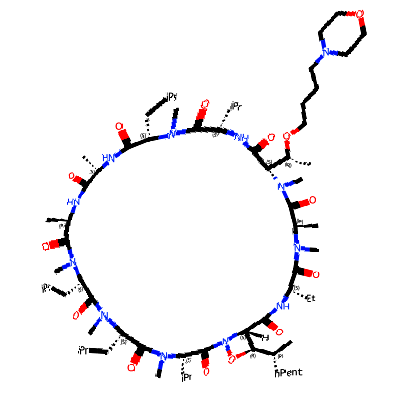 CCCCC[C@@H](C)[C@H]1ON2C(=O)[C@H](C(C)C)N(C)C(=O)[C@H](CC(C)C)N(C)C(=O)[C@H](CC(C)C)N(C)C(=O)[C@@H](C)NC(=O)[C@H](C)NC(=O)[C@H](CC(C)C)N(C)C(=O)[C@H](C(C)C)NC(=O)[C@H]([C@@H](C)OCCCCN3CCOCC3)N(C)C(=O)[C@@H](C)N(C)C(=O)[C@H](CC)NC(=O)[C@H]12